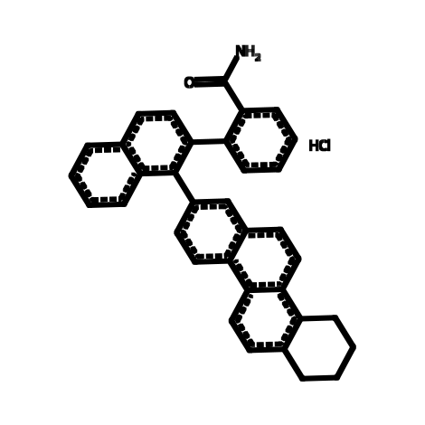 Cl.NC(=O)c1ccccc1-c1ccc2ccccc2c1-c1ccc2c(ccc3c4c(ccc32)CCCC4)c1